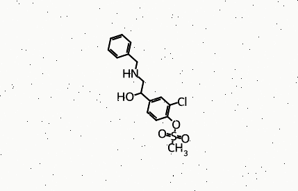 CS(=O)(=O)Oc1ccc(C(O)CNCc2ccccc2)cc1Cl